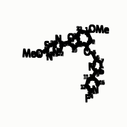 COc1cc(OCC2CSC(c3ccc(F)nc3)=N2)c2cc(-c3cn4nc(OC)sc4n3)oc2c1